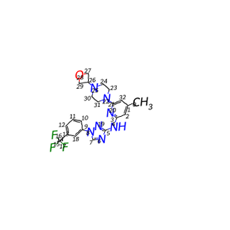 Cc1cc(Nc2ncn(-c3cccc(C(F)(F)F)c3)n2)nc(N2CCN(C3COC3)CC2)c1